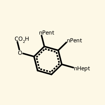 CCCCCCCc1ccc(OC(=O)O)c(CCCCC)c1CCCCC